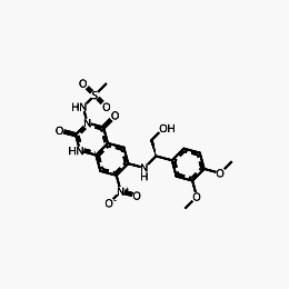 COc1ccc([C@H](CO)Nc2cc3c(=O)n(NS(C)(=O)=O)c(=O)[nH]c3cc2[N+](=O)[O-])cc1OC